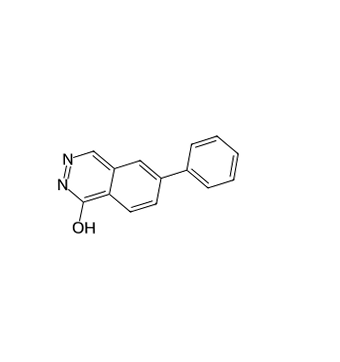 Oc1nncc2cc(-c3ccccc3)ccc12